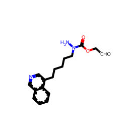 NN(CCCCCc1cncc2ccccc12)C(=O)OCC=O